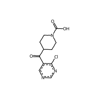 O=C(c1cncnc1Cl)C1CCN(C(=O)O)CC1